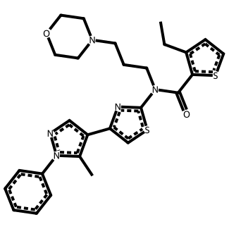 CCc1ccsc1C(=O)N(CCCN1CCOCC1)c1nc(-c2cnn(-c3ccccc3)c2C)cs1